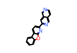 c1ccc2c(c1)oc1nc(-c3cc4cnccc4cn3)ccc12